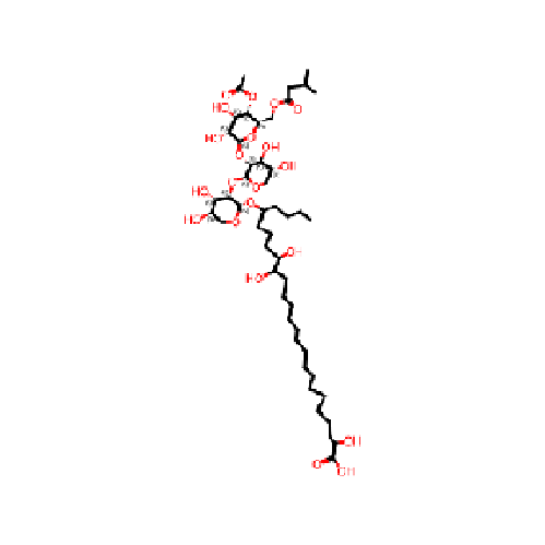 CCCCC(CCCC(O)C(O)CCCCCCCCCCCCCCC(O)C(=O)O)O[C@@H]1OC[C@@H](O)[C@H](O)[C@H]1O[C@@H]1OC[C@@H](O)[C@H](O)[C@H]1O[C@@H]1O[C@H](COC(=O)CC(C)C)[C@@H](OC(C)=O)[C@H](O)[C@H]1O